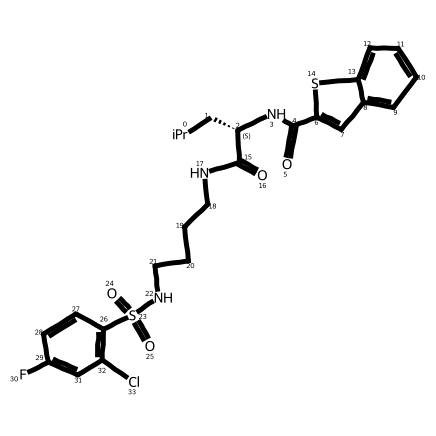 CC(C)C[C@H](NC(=O)c1cc2ccccc2s1)C(=O)NCCCCNS(=O)(=O)c1ccc(F)cc1Cl